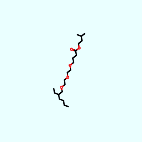 CCCCC(CC)COCCOCCOCCCC(=O)OCCC(C)C